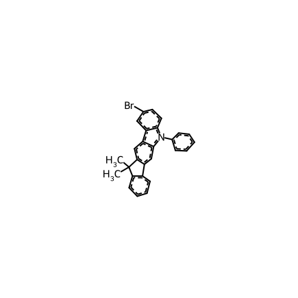 CC1(C)c2ccccc2-c2cc3c(cc21)c1cc(Br)ccc1n3-c1ccccc1